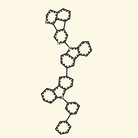 c1ccc(-c2cccc(-n3c4ccccc4c4cc(-c5ccc6c(c5)c5ccccc5n6-c5cc6c(cn5)-c5nccc7cccc-6c57)ccc43)c2)cc1